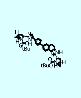 CC(C)(C)OC(=O)N1[C@@H]2C[C@@H]2C[C@H]1c1ncc(-c2ccc(-c3ccc4c(c3)CCc3[nH]c([C@@H]5C[C@H]6C[C@H]6N5C(=O)OC(C)(C)C)nc3-4)cc2)[nH]1